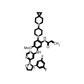 C=CC(=O)Nc1cc(Nc2cc(N3OCC[C@@H]3c3cc(F)cc(F)c3)ncn2)c(OC)cc1N1CCC(N2CCC3(CC2)CC3)CC1